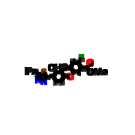 COC(=O)c1cc(Oc2ccc(-c3nnc(C(C)C)s3)cc2)c(C=O)cc1F